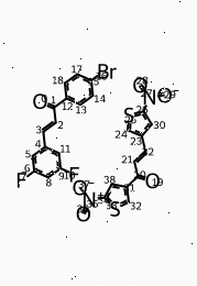 O=C(/C=C/c1cc(F)cc(F)c1)c1ccc(Br)cc1.O=C(/C=C/c1csc([N+](=O)[O-])c1)c1csc([N+](=O)[O-])c1